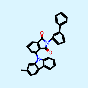 Cc1ccc2c3ccccc3n(-c3cccc4c3C(=O)N(c3cccc(-c5ccccc5)c3)C4=O)c2c1